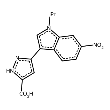 CC(C)n1cc(-c2cc(C(=O)O)[nH]n2)c2ccc([N+](=O)[O-])cc21